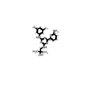 CC(C)(O)CNc1nc(Nc2cc(F)cc(F)c2)nc(-c2cccc(N)n2)n1